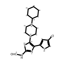 O=[C]Nc1nc(-c2cc(Cl)cs2)c(N2CCN(C3CCCCC3)CC2)s1